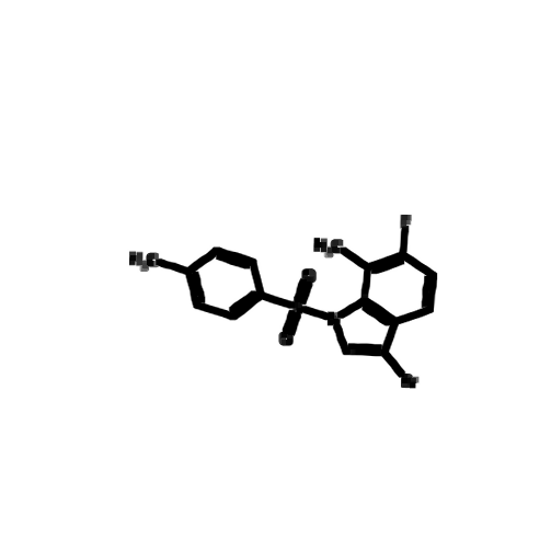 Cc1ccc(S(=O)(=O)n2cc(Br)c3ccc(F)c(C)c32)cc1